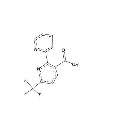 O=C(O)c1ccc(C(F)(F)F)nc1-c1ccccn1